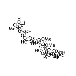 COC[C@H]1O[C@@H](OC2OC[C@@H]3O[C@]4(O[C@H]3[C@H]2OC(=O)C(C)C)O[C@H](C)[C@@](O)(C(C)=O)[C@@H]2OCO[C@H]24)[C@@H](OC)[C@@H](O)[C@@H]1O[C@@H]1O[C@H](C)[C@H](OC)[C@H](O[C@H]2C[C@@]3(C)OC4(C[C@@H](O)[C@H](O[C@H]5C[C@@H](O)[C@H](OC(=O)c6c(C)c(Cl)c(O)c(Cl)c6OC)[C@@H](C)O5)[C@@H](C)O4)O[C@@H]3[C@@H](C)O2)[C@H]1O